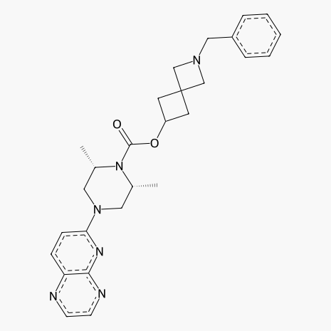 C[C@@H]1CN(c2ccc3nccnc3n2)C[C@H](C)N1C(=O)OC1CC2(C1)CN(Cc1ccccc1)C2